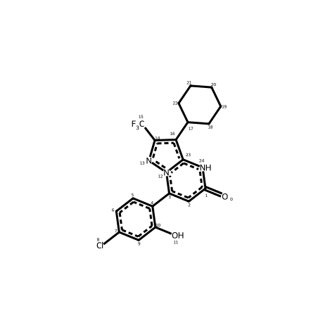 O=c1cc(-c2ccc(Cl)cc2O)n2nc(C(F)(F)F)c(C3CCCCC3)c2[nH]1